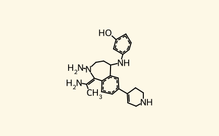 C/C(N)=C1\c2ccc(C3=CCNCC3)cc2C(Nc2cccc(O)c2)CCN1N